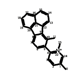 Cc1ccc(-c2ccc3c(c2C)-c2cccc4cccc-3c24)[n+](C)c1